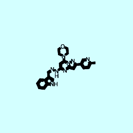 Cc1ccc(-c2cc3nc(N/N=C\c4c[nH]c5ccccc45)cc(N4CCOCC4)n3n2)cn1